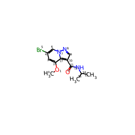 COc1cc(Br)cn2ncc(C(=O)NC(C)C)c12